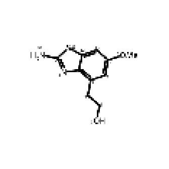 COc1cc(CCO)c2nc(N)sc2c1